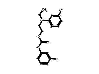 CCN(CCOC(=O)Oc1cccc(Cl)c1)c1cccc(Cl)c1